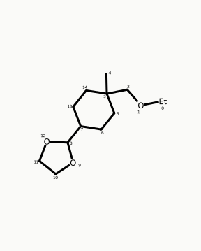 CCOCC1(C)CCC(C2OCCO2)CC1